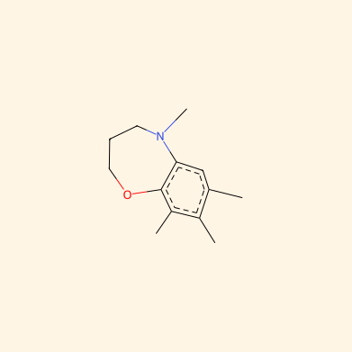 Cc1cc2c(c(C)c1C)OCCCN2C